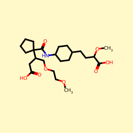 COCCOCC(CC(=O)O)C1(C(=O)NC2CCC(CCC(OC)C(=O)O)CC2)CCCC1